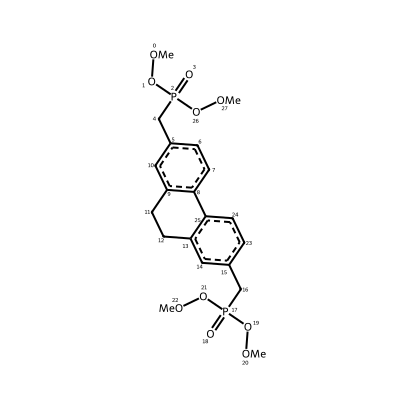 COOP(=O)(Cc1ccc2c(c1)CCc1cc(CP(=O)(OOC)OOC)ccc1-2)OOC